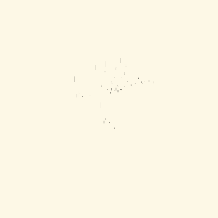 CCCCCCCCCC.CCCCCCCCCC.CCCCCCCCCC.CCCCCCCCCC.CCCCCCCCCC.CCCCCCCCCC.ICI